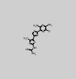 Cc1nc(NC(=N)N)sc1-c1csc(-c2nc(Cl)c(N)nc2N)n1